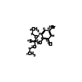 CCOP(=S)(OCC)Oc1ccc(Br)cc1Cl